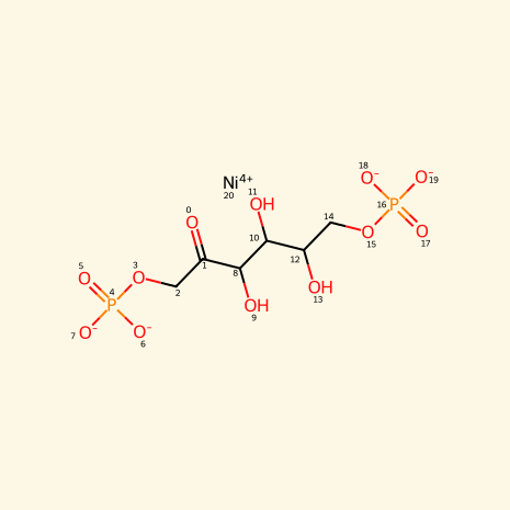 O=C(COP(=O)([O-])[O-])C(O)C(O)C(O)COP(=O)([O-])[O-].[Ni+4]